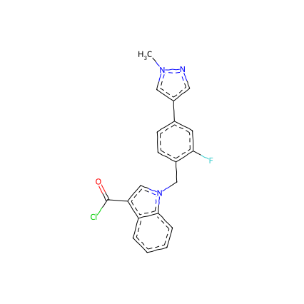 Cn1cc(-c2ccc(Cn3cc(C(=O)Cl)c4ccccc43)c(F)c2)cn1